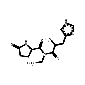 NC(Cc1c[nH]cn1)C(=O)N(CC(=O)O)C(=O)C1CCC(=O)N1